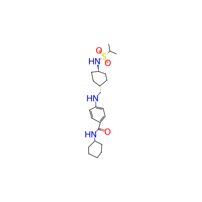 CC(C)S(=O)(=O)N[C@H]1CC[C@H](CNc2ccc(C(=O)NC3CCCCC3)cc2)CC1